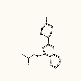 Fc1ccc(-c2cc(OCC(F)F)c3ncncc3c2)nc1